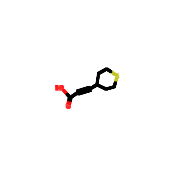 O=C(O)C#CC1CCSCC1